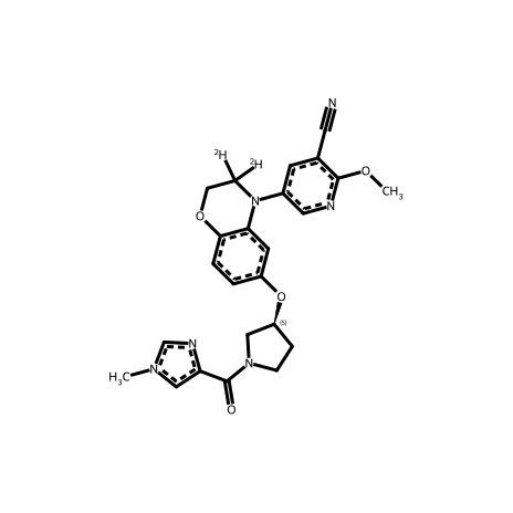 [2H]C1([2H])COc2ccc(O[C@H]3CCN(C(=O)c4cn(C)cn4)C3)cc2N1c1cnc(OC)c(C#N)c1